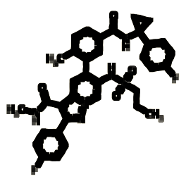 CCCS(=O)(=O)Nc1cn2nc(-c3ccc(F)cc3)c(C(=O)NC)c2cc1-c1cc(C(=O)NC2(c3ccc(F)cc3)CC2)ccc1C